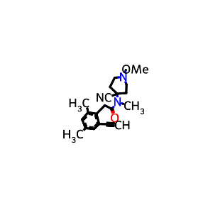 C#Cc1cc(C)cc(C)c1CC(=O)N(C)C1(C#N)CCN(OC)CC1